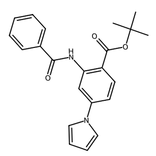 CC(C)(C)OC(=O)c1ccc(-n2cccc2)cc1NC(=O)c1ccccc1